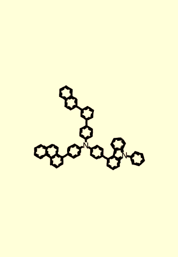 c1ccc(-n2c3ccccc3c3c(-c4ccc(N(c5ccc(-c6cccc(-c7ccc8ccccc8c7)c6)cc5)c5ccc(-c6cccc7c6ccc6ccccc67)cc5)cc4)cccc32)cc1